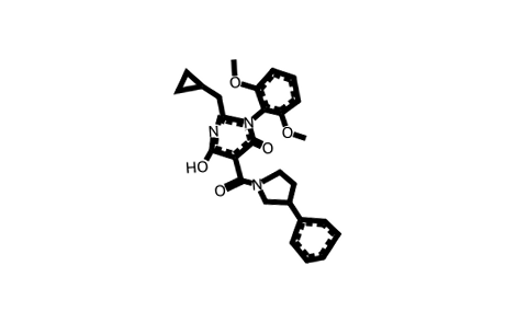 COc1cccc(OC)c1-n1c(CC2CC2)nc(O)c(C(=O)N2CCC(c3ccccc3)C2)c1=O